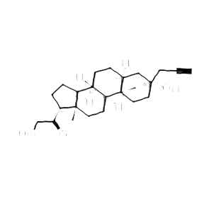 C#CC[C@@]1(O)CC[C@@]2(C)[C@@H](CC[C@@H]3[C@@H]2CC[C@]2(C)[C@@H](C(=O)CO)CC[C@@H]32)C1